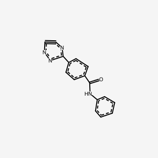 O=C(Nc1ccccc1)c1ccc(-c2nc#cnn2)cc1